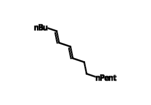 [CH2]CCCC=CC=CCCCCCCC